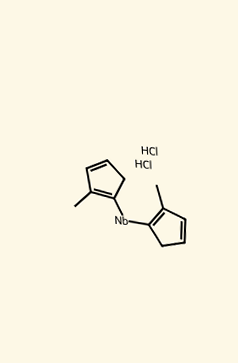 CC1=[C]([Nb][C]2=C(C)C=CC2)CC=C1.Cl.Cl